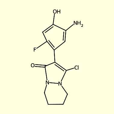 Nc1cc(-c2c(Cl)n3n(c2=O)CCCC3)c(F)cc1O